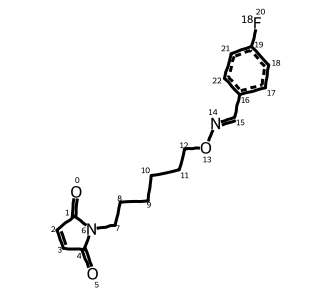 O=C1C=CC(=O)N1CCCCCCON=Cc1ccc([18F])cc1